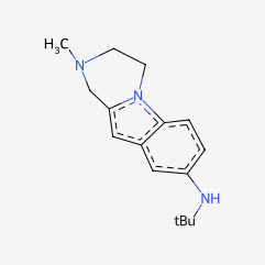 CN1CCn2c(cc3cc(NC(C)(C)C)ccc32)C1